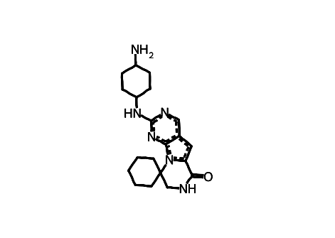 NC1CCC(Nc2ncc3cc4n(c3n2)C2(CCCCC2)CNC4=O)CC1